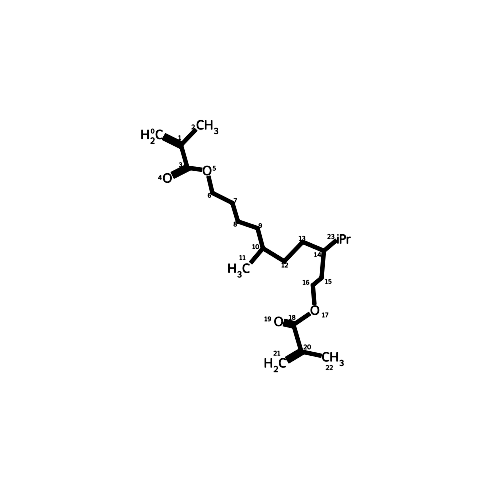 C=C(C)C(=O)OCCCCC(C)CCC(CCOC(=O)C(=C)C)C(C)C